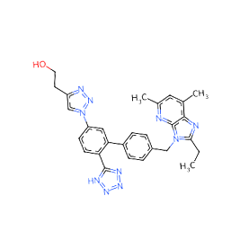 CCc1nc2c(C)cc(C)nc2n1Cc1ccc(-c2cc(-n3cc(CCO)nn3)ccc2-c2nnn[nH]2)cc1